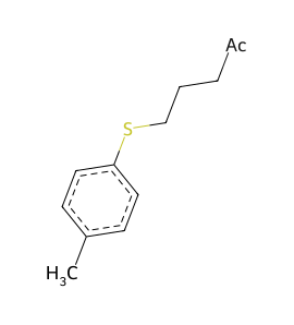 CC(=O)CCCSc1ccc(C)cc1